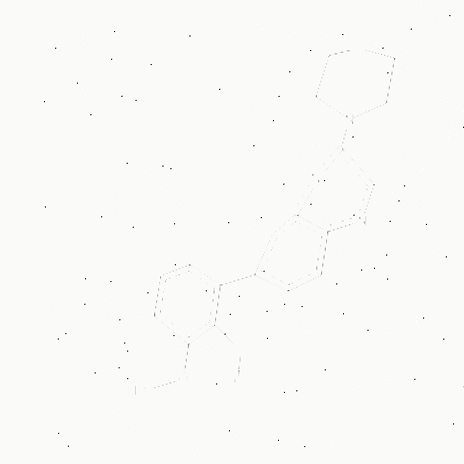 COc1cccc(-c2ccc3ncc(N4CCOCC4)nc3c2)c1OC